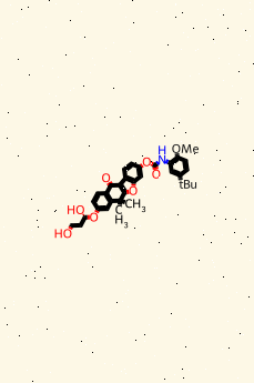 COc1ccc(C(C)(C)C)cc1NC(=O)Oc1ccc2c3c(oc2c1)C(C)(C)c1cc(O[C@@H](O)CCO)ccc1C3=O